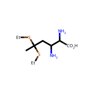 CCSC(C)(CC(N)C(N)C(=O)O)SCC